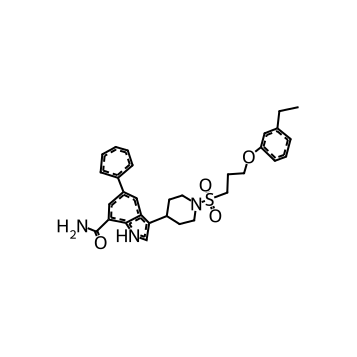 CCc1cccc(OCCCS(=O)(=O)N2CCC(c3c[nH]c4c(C(N)=O)cc(-c5ccccc5)cc34)CC2)c1